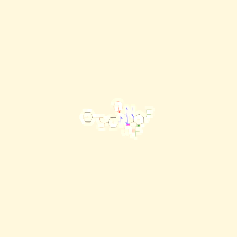 O=C1c2cc(SCc3ccccc3)ccc2-n2c1nc1cc(F)cc(F)c1c2=O